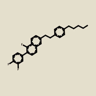 CCCCCc1ccc(CCc2ccc3c(F)c(-c4ccc(F)c(F)c4)ccc3c2)cc1